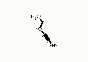 [2H]C#COCC